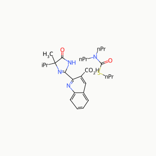 CC(C)C1(C)N=C(c2nc3ccccc3cc2C(=O)O)NC1=O.CCCSC(=O)N(CCC)CCC